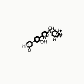 CN(c1ccc(-c2ccc([C@@H]3CCNC(=O)C3)cc2O)nn1)[C@H]1C[C@@H]2CC(F)(F)[C@H](C1)N2